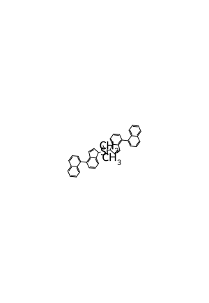 C[Si](C)(C1C=Cc2c(-c3cccc4ccccc34)cccc21)C1C=Cc2c(-c3cccc4ccccc34)cccc21